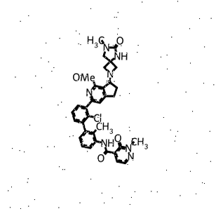 COc1nc(-c2cccc(-c3cccc(NC(=O)c4ccnn(C)c4=O)c3C)c2Cl)cc2c1[C@@H](N1CC3(CN(C)C(=O)N3)C1)CC2